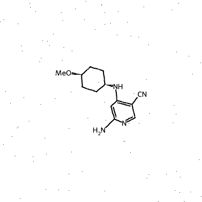 CO[C@H]1CC[C@@H](Nc2cc(N)ncc2C#N)CC1